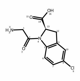 NCC(=O)N1c2ccc(Cl)cc2C[C@@H]1C(=O)O